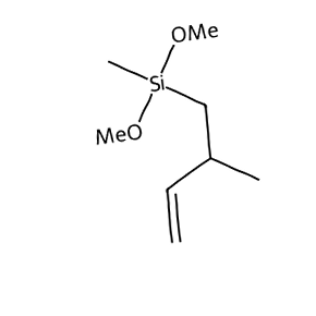 C=CC(C)C[Si](C)(OC)OC